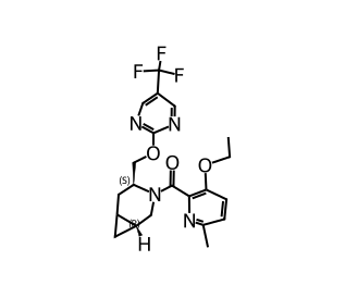 CCOc1ccc(C)nc1C(=O)N1C[C@@H]2CC2C[C@H]1COc1ncc(C(F)(F)F)cn1